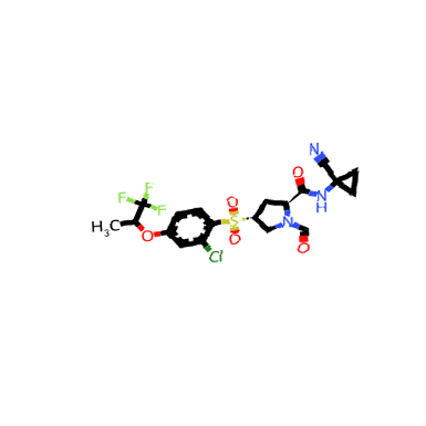 CC(Oc1ccc(S(=O)(=O)[C@@H]2C[C@@H](C(=O)NC3(C#N)CC3)N(C=O)C2)c(Cl)c1)C(F)(F)F